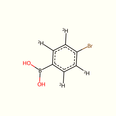 [2H]c1c([2H])c(B(O)O)c([2H])c([2H])c1Br